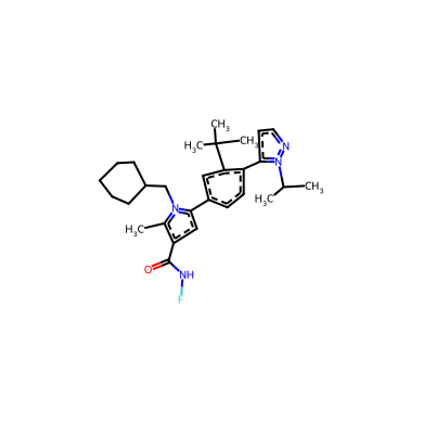 Cc1c(C(=O)NF)cc(-c2ccc(-c3ccnn3C(C)C)c(C(C)(C)C)c2)n1CC1CCCCC1